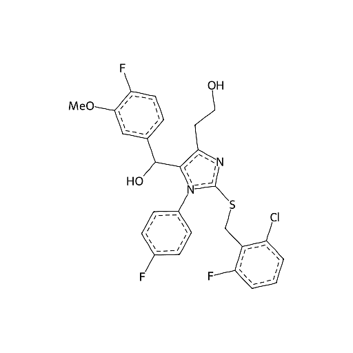 COc1cc(C(O)c2c(CCO)nc(SCc3c(F)cccc3Cl)n2-c2ccc(F)cc2)ccc1F